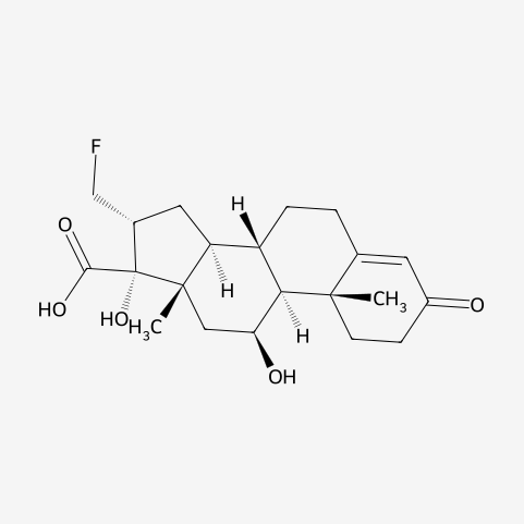 C[C@]12CCC(=O)C=C1CC[C@@H]1[C@@H]2[C@@H](O)C[C@@]2(C)[C@H]1C[C@@H](CF)[C@]2(O)C(=O)O